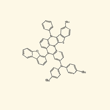 CC(C)(C)c1ccc(N(c2ccc(C(C)(C)C)cc2)c2ccc3c(c2)N(c2cccc4c2oc2ccccc24)c2cccc4c2B3c2sc3ccc(C(C)(C)C)cc3c2N4c2ccccc2)cc1